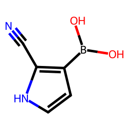 N#Cc1[nH]ccc1B(O)O